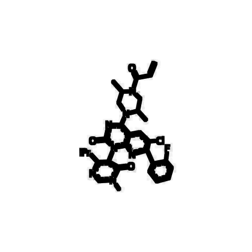 C=CC(=O)N1CC(C)N(c2nc(=O)n(-c3c(C(C)C)ncn(C)c3=O)c3nc(-c4ccccc4F)c(Cl)cc23)CC1C